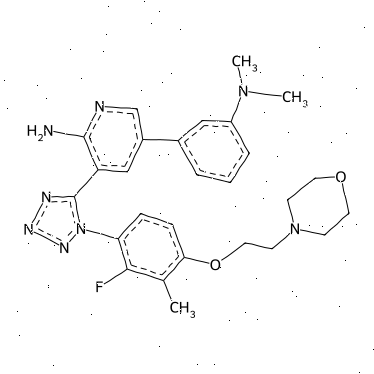 Cc1c(OCCN2CCOCC2)ccc(-n2nnnc2-c2cc(-c3cccc(N(C)C)c3)cnc2N)c1F